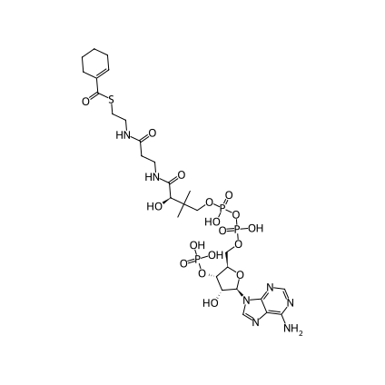 CC(C)(COP(=O)(O)OP(=O)(O)OC[C@H]1O[C@@H](n2cnc3c(N)ncnc32)[C@H](O)[C@@H]1OP(=O)(O)O)[C@@H](O)C(=O)NCCC(=O)NCCSC(=O)C1=CCCCC1